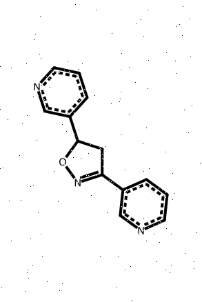 c1cncc(C2=NOC(c3cccnc3)C2)c1